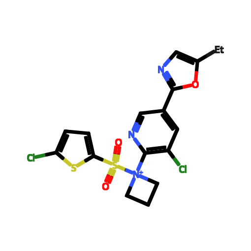 CCc1cnc(-c2cnc([N+]3(S(=O)(=O)c4ccc(Cl)s4)CCC3)c(Cl)c2)o1